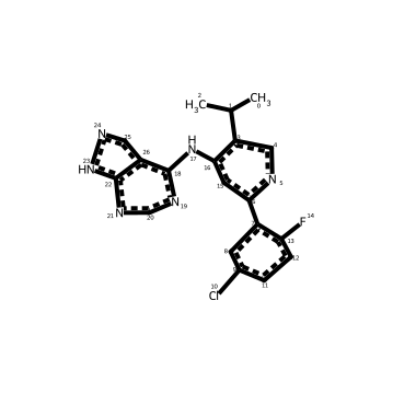 CC(C)c1cnc(-c2cc(Cl)ccc2F)cc1Nc1ncnc2[nH]ncc12